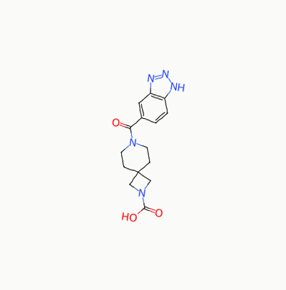 O=C(O)N1CC2(CCN(C(=O)c3ccc4[nH]nnc4c3)CC2)C1